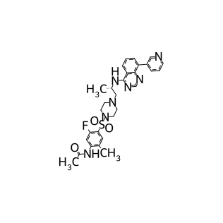 CC(=O)Nc1cc(F)c(S(=O)(=O)N2CCN(C[C@H](C)Nc3ncnc4c(-c5cccnc5)cccc34)CC2)cc1C